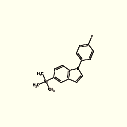 [CH3][Sn]([CH3])([CH3])[c]1ccc2c(ccn2-c2ccc(F)cc2)c1